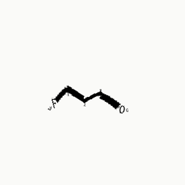 O=[C]C=CF